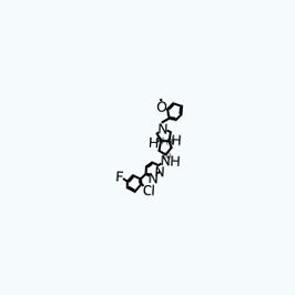 COc1ccccc1CN1C[C@H]2C[C@H](Nc3ccc(-c4cc(F)ccc4Cl)nn3)C[C@H]2C1